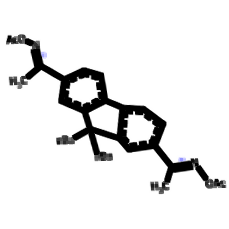 CCCCC1(CCCC)c2cc(/C(C)=N/OC(C)=O)ccc2-c2ccc(/C(C)=N/OC(C)=O)cc21